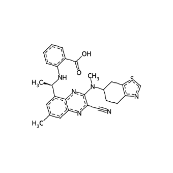 Cc1cc([C@@H](C)Nc2ccccc2C(=O)O)c2nc(N(C)C3CCc4ncsc4C3)c(C#N)nc2c1